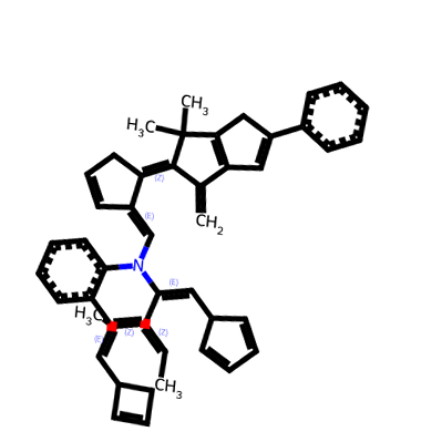 C=C1C2=C(CC(c3ccccc3)=C2)C(C)(C)/C1=C1\CC=C\C1=C/N(C(/C=C\C)=C/C1C=CC=C1)c1ccccc1C(/C=C\C)=C/C1C=CC1